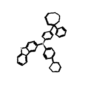 c1ccc(C2(c3ccc(N(c4ccc(C5CCCCC5)cc4)c4ccc5sc6ccccc6c5c4)cc3)CCCCCC2)cc1